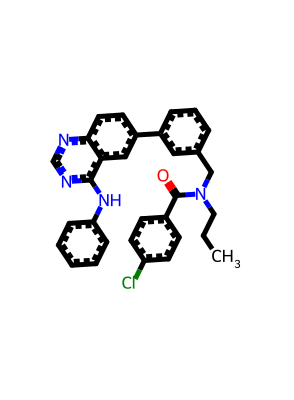 CCCN(Cc1cccc(-c2ccc3ncnc(Nc4ccccc4)c3c2)c1)C(=O)c1ccc(Cl)cc1